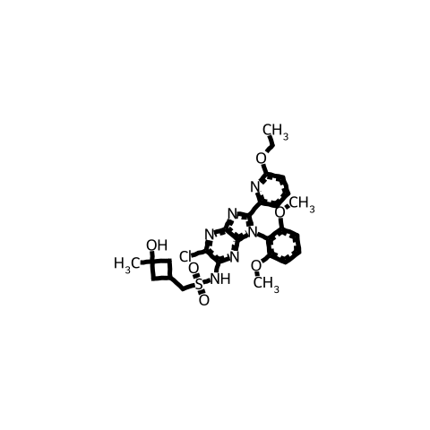 CCOc1cccc(-c2nc3nc(Cl)c(NS(=O)(=O)CC4CC(C)(O)C4)nc3n2-c2c(OC)cccc2OC)n1